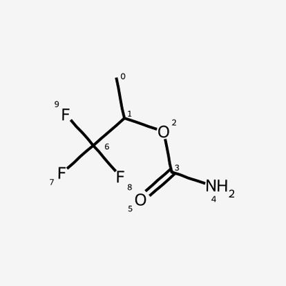 CC(OC(N)=O)C(F)(F)F